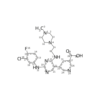 CN1CCN(CCNc2nc(Nc3ccc(F)c(Cl)c3)ncc2-c2cncc(C(=O)O)c2)CC1